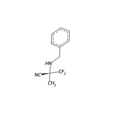 C[C@](C#N)(NCc1ccccc1)C(F)(F)F